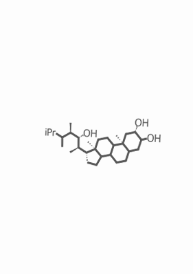 CC(C)C(C)[C@@H](C)[C@H](O)[C@H](C)[C@H]1CCC2C3CCC4CC(O)[C@@H](O)C[C@]4(C)C3CC[C@@]21C